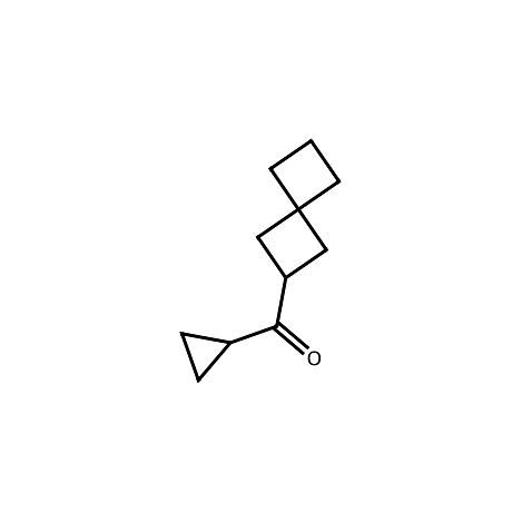 O=C(C1CC1)C1CC2(CCC2)C1